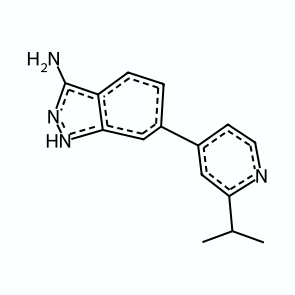 CC(C)c1cc(-c2ccc3c(N)n[nH]c3c2)ccn1